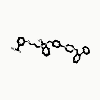 N=c1n(CCCOc2cccc(C(=O)O)c2)c2ccccc2n1Cc1ccc(N2CCN(Cc3ccccc3-c3ccccc3)CC2)cc1